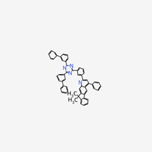 CC1(C)c2ccccc2-c2cc3c(-c4ccccc4)cc(-c4cccc(-c5nc(-c6cccc(-c7ccccc7)c6)nc(-c6cccc(-c7ccccc7)c6)n5)c4)nc3cc21